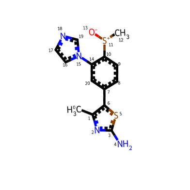 Cc1nc(N)sc1-c1ccc([S+](C)[O-])c(-n2ccnc2)c1